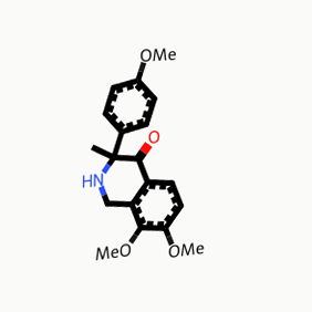 COc1ccc(C2(C)NCc3c(ccc(OC)c3OC)C2=O)cc1